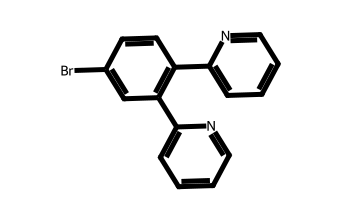 Brc1ccc(-c2ccccn2)c(-c2ccccn2)c1